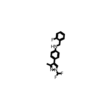 Cc1nn(C(F)F)cc1-c1ccc(NCc2ccccc2F)cc1